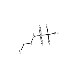 [Li][CH2]COS(=O)(=O)C(F)(F)F